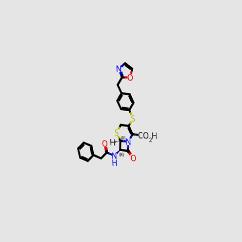 O=C(Cc1ccccc1)N[C@@H]1C(=O)N2C(C(=O)O)=C(Sc3ccc(Cc4ncco4)cc3)CS[C@H]12